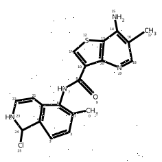 Cc1ccc2c(c1NC(=O)c1csc3c(N)c(C)cnc13)C=CNC2Cl